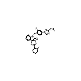 CC1N=CC(c2ccc(CN3C(=O)C4(CCN(C5CCCCC5F)CC4)c4ccccc43)c(F)c2)=N1